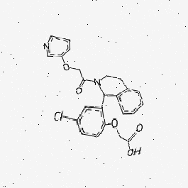 O=C(O)COc1ccc(Cl)cc1C1c2ccccc2CCN1C(=O)COc1cccnc1